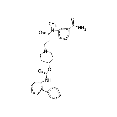 CN(C(=O)CCN1CCC(OC(=O)Nc2ccccc2-c2ccccc2)CC1)c1cccc(C(N)=O)c1